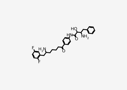 NC(CCCCC(=O)c1ccc(NC(=O)C(O)C(N)Cc2ccccc2)cc1)Cc1cc(F)ccc1F